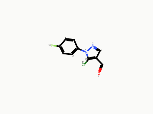 O=Cc1cnn(-c2ccc(F)cc2)c1Cl